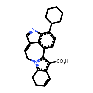 O=C(O)c1c2c(n3c1-c1ccc(C4CCCCC4)c4c1C(=CC3)C=N4)CCC=C2